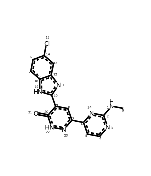 CNc1nccc(-c2cc(-c3nc4cc(Cl)ccc4[nH]3)c(=O)[nH]n2)n1